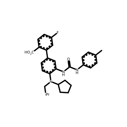 Cc1ccc(NC(=O)Nc2cc(-c3cc(F)ccc3C(=O)O)ccc2N(CC(C)C)C2CCCC2)cc1